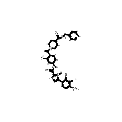 COc1ccc(-c2cnc(C(=O)Nc3ccc(C(=O)N4CCC(C(=O)NCc5ccncc5)CC4)c(Cl)c3)n2C)c(F)c1F